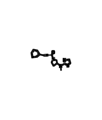 CN(c1nccs1)C1CCN(C(=O)C#Cc2ccccc2)C1